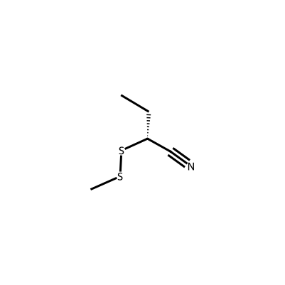 CC[C@H](C#N)SSC